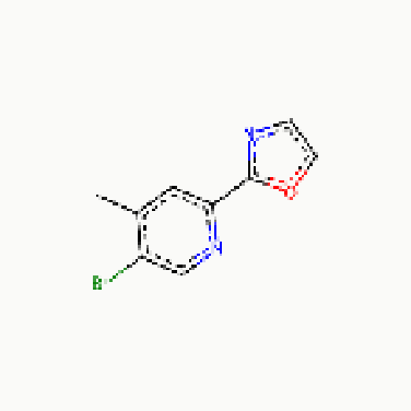 Cc1cc(-c2ncco2)ncc1Br